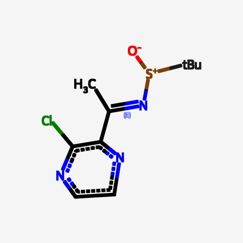 C/C(=N\[S+]([O-])C(C)(C)C)c1nccnc1Cl